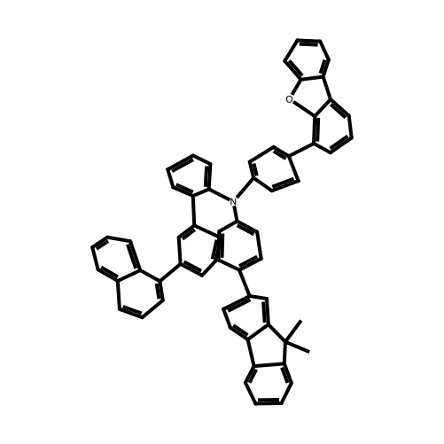 CC1(C)c2ccccc2-c2ccc(-c3ccc(N(c4ccc(-c5cccc6c5oc5ccccc56)cc4)c4ccccc4-c4cccc(-c5cccc6ccccc56)c4)cc3)cc21